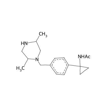 CC(=O)NC1(c2ccc(CN3CC(C)NCC3C)cc2)CC1